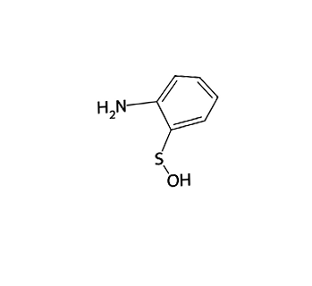 Nc1ccccc1SO